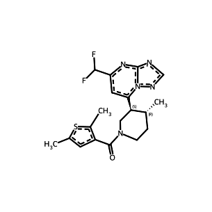 Cc1cc(C(=O)N2CC[C@@H](C)[C@H](c3cc(C(F)F)nc4ncnn34)C2)c(C)s1